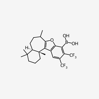 CC1CC[C@@H]2C(C)(C)CCC[C@@]2(C)c2c1oc1c(B(O)O)c(C(F)(F)F)c(C(F)(F)F)cc21